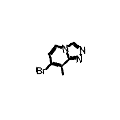 Cc1c(Br)ccn2cnnc12